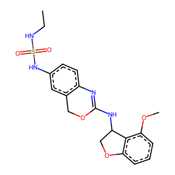 CCNS(=O)(=O)Nc1ccc2c(c1)COC(NC1COc3cccc(OC)c31)=N2